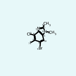 Cc1nc2c(Cl)c(I)c(Br)cc2n1C